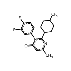 Cc1cc(=O)n(-c2ccc(F)c(F)c2)c(C2CCC(C(F)(F)F)CC2)n1